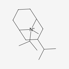 CC(C)C1CC2CCCC(C1)[N+]2(C)C(C)C